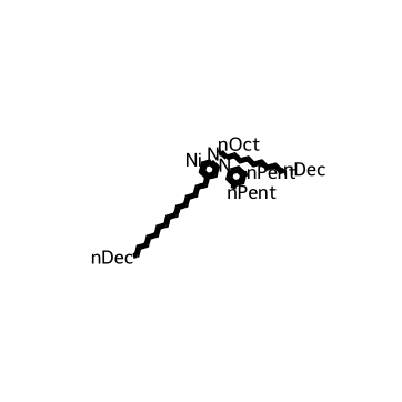 CCCCCCCCCCCCCCCCCCCCCCCCCc1ccc(N=C(CCCCCCCC)C(CCCCCCCCCCCCCCCCCC)=Nc2cc(CCCCC)cc(CCCCC)c2)cc1.[Ni]